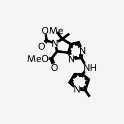 COC(=O)C1c2nc(Nc3ccnc(C)c3)ncc2C(C)(C)N1C(=O)OC